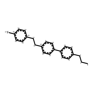 CCCc1ccc(-c2ccc(CCc3ccc(F)cc3)cc2)cc1